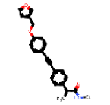 CCNC(=O)C(C)c1ccc(C#Cc2ccc(OCc3ccoc3)cc2)cc1